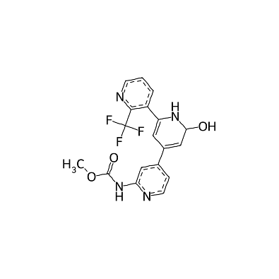 COC(=O)Nc1cc(C2=CC(O)NC(c3cccnc3C(F)(F)F)=C2)ccn1